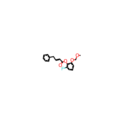 COCOc1cccc(F)c1OC(=O)C=CCc1ccccc1